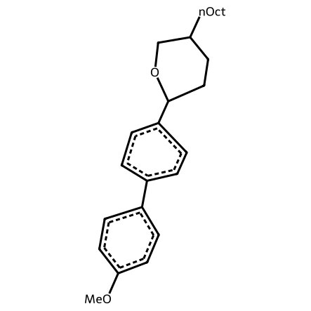 CCCCCCCCC1CCC(c2ccc(-c3ccc(OC)cc3)cc2)OC1